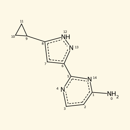 Nc1ccnc(-c2cc(C3CC3)[nH]n2)n1